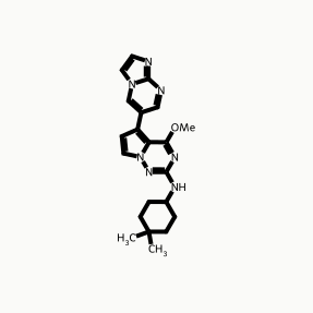 COc1nc(NC2CCC(C)(C)CC2)nn2ccc(-c3cnc4nccn4c3)c12